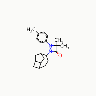 Cc1ccc(N2N(C3CCC4CC5CC3CC45)C(=O)C2(C)C)cc1